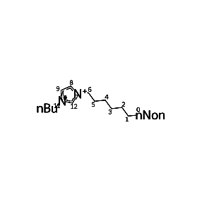 CCCCCCCCCCCCCCC[n+]1ccn(CCCC)c1